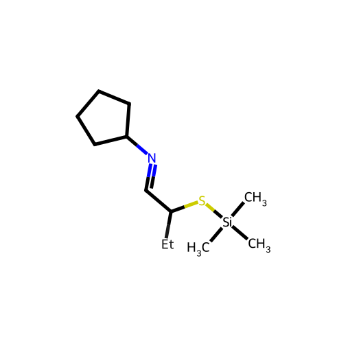 CCC(/C=N/C1CCCC1)S[Si](C)(C)C